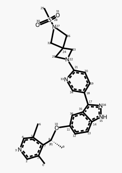 Cc1cncc(C)c1[C@@H](C)Oc1ccc2[nH]nc(-c3ccc(N4CC5(C4)CN(S(C)(=O)=O)C5)nc3)c2c1